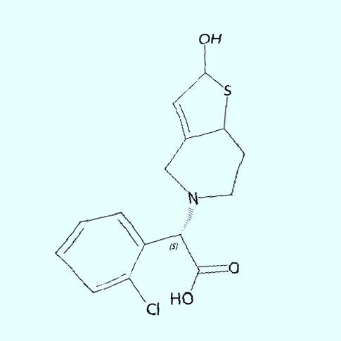 O=C(O)[C@H](c1ccccc1Cl)N1CCC2SC(O)C=C2C1